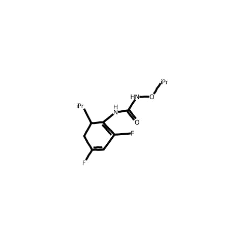 CC(C)ONC(=O)NC1=C(F)C=C(F)CC1C(C)C